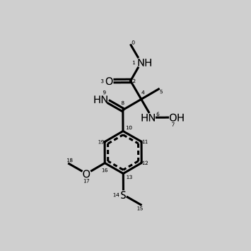 CNC(=O)C(C)(NO)C(=N)c1ccc(SC)c(OC)c1